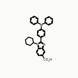 O=C(O)c1ccc2c(c1)nc(-c1ccc(N(c3ccccc3)c3ccccc3)cc1)n2C1CCCCC1